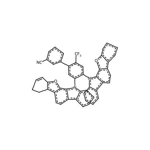 N#Cc1cccc(-c2cc(-n3c4ccccc4c4ccc5c6c(oc5c43)C=CCC6)c(-n3c4ccccc4c4ccc5c6ccccc6oc5c43)cc2C(F)(F)F)c1